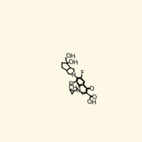 COc1c(N2CC3CCC(O)(CO)C3C2)c(F)cc2c(=O)c(C(=O)O)cn(C3CC3)c12